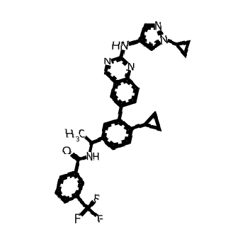 CC(NC(=O)c1cccc(C(F)(F)F)c1)c1ccc(C2CC2)c(-c2ccc3nc(Nc4cnn(C5CC5)c4)ncc3c2)c1